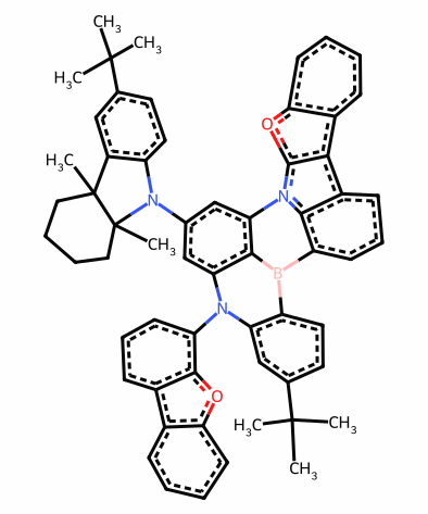 CC(C)(C)c1ccc2c(c1)N(c1cccc3c1oc1ccccc13)c1cc(N3c4ccc(C(C)(C)C)cc4C4(C)CCCCC34C)cc3c1B2c1cccc2c4c5ccccc5oc4n-3c12